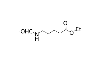 CCOC(=O)CCCCN[C]=O